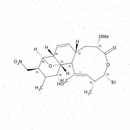 CC[C@H]1OC(=O)[C@@H](OC)C[C@H]2C=C[C@H]3[C@H]4O[C@]2(/C(C)=C/[C@H]1C)[C@@H]3[C@H](O)C(C)[C@H]4C[N+](=O)[O-]